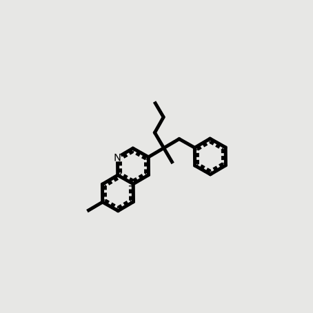 CCCC(C)(Cc1ccccc1)c1cnc2cc(C)ccc2c1